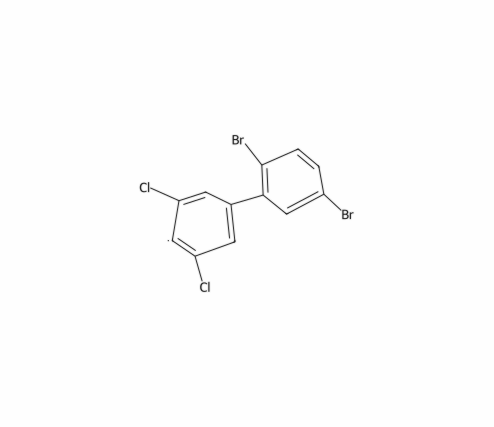 Clc1[c]c(Cl)cc(-c2cc(Br)ccc2Br)c1